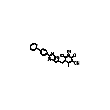 CCN1C(=O)C(C#N)=C(C)/C(=C/c2cc3c(nc(-c4ccc(-c5ccccc5)cc4)n3C)s2)C1=O